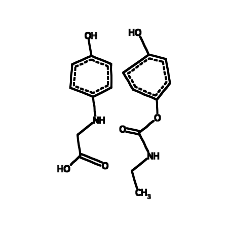 CCNC(=O)Oc1ccc(O)cc1.O=C(O)CNc1ccc(O)cc1